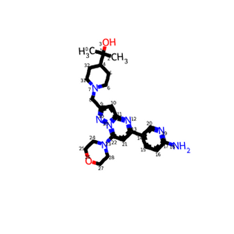 CC(C)(O)C1CCN(Cc2cc3nc(-c4ccc(N)nc4)cc(N4CCOCC4)n3n2)CC1